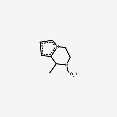 CC1c2cccn2CCN1C(=O)O